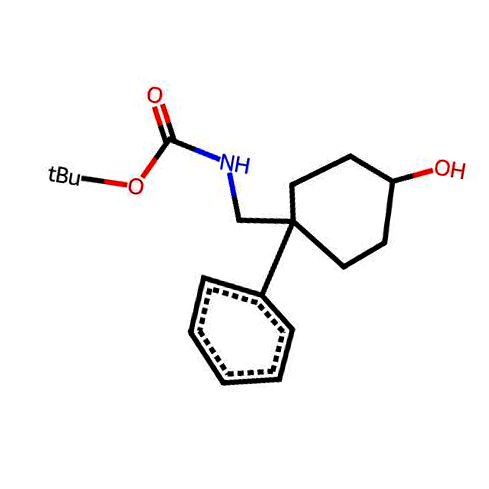 CC(C)(C)OC(=O)NCC1(c2ccccc2)CCC(O)CC1